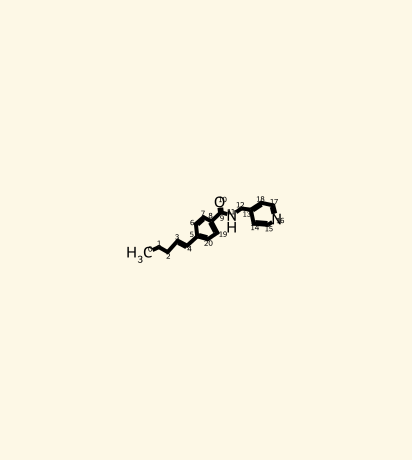 CCC/C=C/c1ccc(C(=O)NCc2ccncc2)cc1